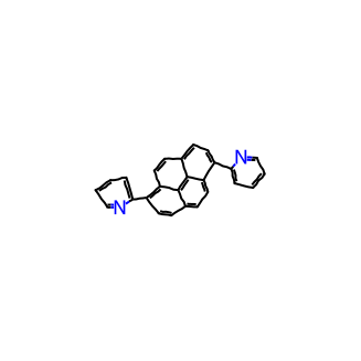 c1ccc(-c2ccc3ccc4c(-c5ccccn5)ccc5ccc2c3c54)nc1